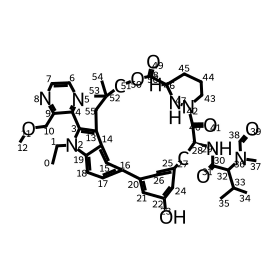 CCn1c(-c2nccnc2COC)c2c3cc(ccc31)-c1cc(O)cc(c1)C[C@H](NC(=O)C(C(C)C)N(C)C=O)C(=O)N1CCC[C@H](N1)C(=O)OCC(C)(C)C2